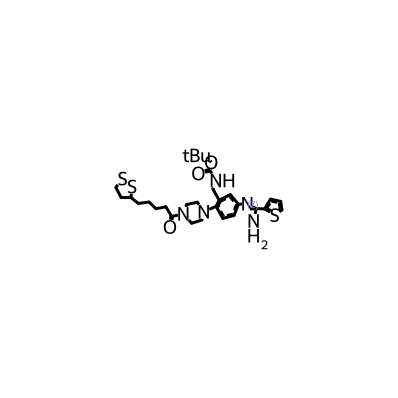 CC(C)(C)OC(=O)NCc1cc(/N=C(\N)c2cccs2)ccc1N1CCN(C(=O)CCCCC2CCSS2)CC1